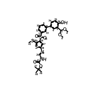 COC(OC)c1cc(-c2cccc(S(=O)(=O)c3cc(/N=C/NC(=O)OC(C)(C)C)sc3SC)c2)ccc1O